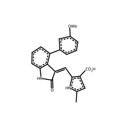 COc1cccc(-c2cccc3c2/C(=C/c2[nH]c(C)cc2C(=O)O)C(=O)N3)c1